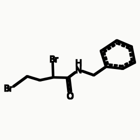 O=C(NCc1ccccc1)C(Br)CCBr